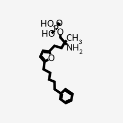 CC(N)(CCc1ccc(CCCCCc2ccccc2)o1)COP(=O)(O)O